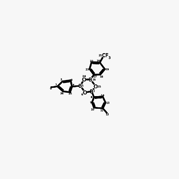 Cc1ccc(B2OB(c3ccc(C)cc3)OB(c3ccc(C(F)(F)F)cc3)O2)cc1